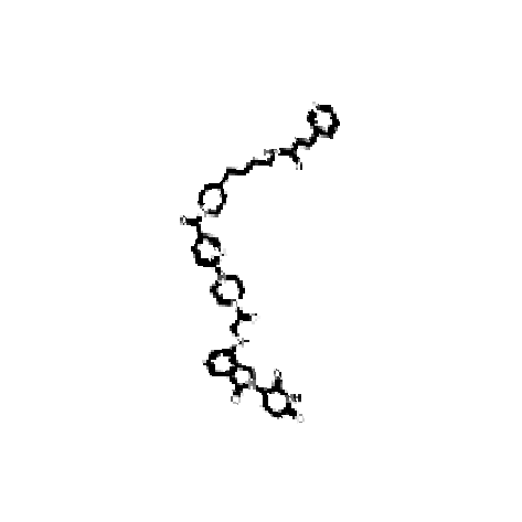 O=C(/C=C/c1cccnc1)NCCCCC1CCN(C(=O)c2ccc(N3CCN(C(=O)CNc4cccc5c4CN(C4CCC(=O)NC4=O)C5=O)CC3)nc2)CC1